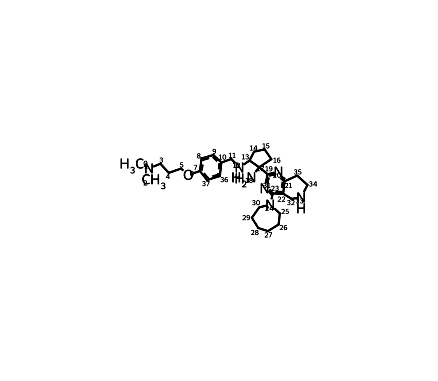 CN(C)CCCOc1ccc(CNC2CCCC2(N)c2nc3c(c(N4CCCCCC4)n2)CNCC3)cc1